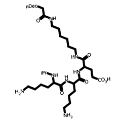 CCCCCCCCCCCC(=O)NCCCCCCNC(=O)C(CCC(=O)O)NC(=O)C(CCCCN)NC(=O)C(CCCCN)NC(C)C